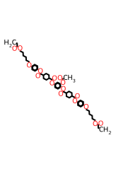 C=CC(=O)OCCCCCCOc1ccc(OC(=O)C2CCC(C(=O)Oc3ccc(OC(=O)C4CCC(C(=O)Oc5ccc(OCCCCCCOC(=O)C=C)cc5)CC4)c(OC(C)=O)c3)CC2)cc1